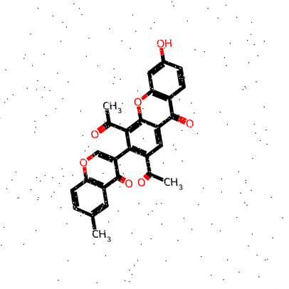 CC(=O)c1cc2c(=O)c3ccc(O)cc3oc2c(C(C)=O)c1-c1coc2ccc(C)cc2c1=O